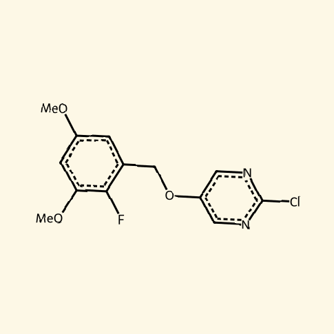 COc1cc(COc2cnc(Cl)nc2)c(F)c(OC)c1